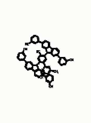 Cc1nc(C)nc(-c2cc(-n3c4cc(-c5cccc(C#N)c5)ccc4c4ccc(-c5cccc(C#N)c5)cc43)c(C#N)cc2-n2c3cc(-c4cccc(C#N)c4)ccc3c3ccc(-c4cccc(C#N)c4)cc32)n1